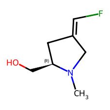 CN1CC(=CF)C[C@@H]1CO